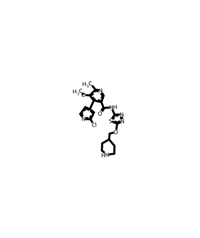 COc1c(C)ncc(C(=O)Nc2nnc(OCC3CCNCC3)s2)c1-c1ccnc(Cl)c1